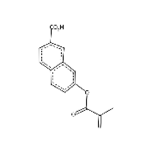 C=C(C)C(=O)Oc1ccc2ccc(C(=O)O)cc2c1